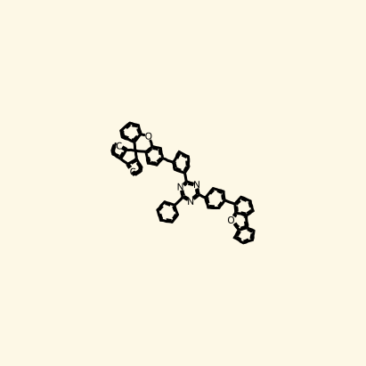 c1ccc(-c2nc(-c3ccc(-c4cccc5c4oc4ccccc45)cc3)nc(-c3cccc(-c4ccc5c(c4)Oc4ccccc4C54c5ccccc5-c5ccccc54)c3)n2)cc1